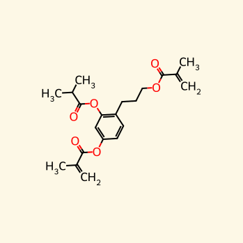 C=C(C)C(=O)OCCCc1ccc(OC(=O)C(=C)C)cc1OC(=O)C(C)C